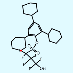 O=S(=O)(Oc1c(C2CCCCC2)cc(C2CCCCC2)cc1C1CCCCC1)C(F)(F)C(F)(F)C(O)(F)F